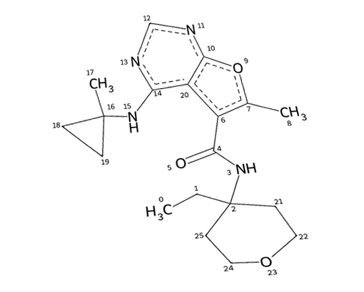 CCC1(NC(=O)c2c(C)oc3ncnc(NC4(C)CC4)c23)CCOCC1